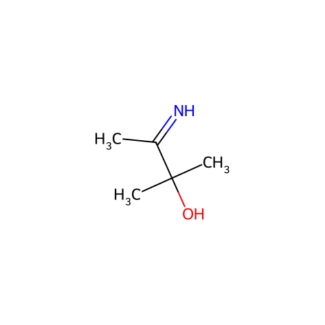 CC(=N)C(C)(C)O